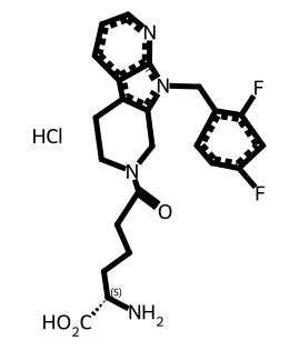 Cl.N[C@@H](CCCC(=O)N1CCc2c(n(Cc3ccc(F)cc3F)c3ncccc23)C1)C(=O)O